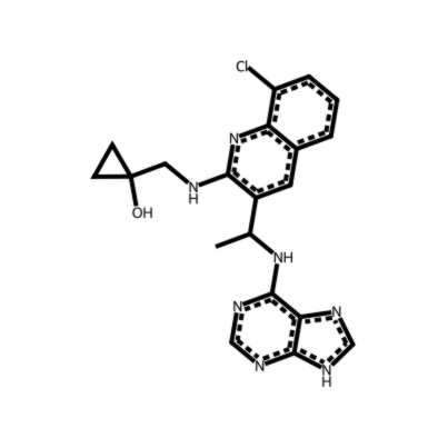 CC(Nc1ncnc2[nH]cnc12)c1cc2cccc(Cl)c2nc1NCC1(O)CC1